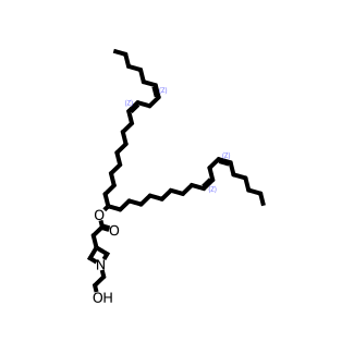 CCCCC/C=C\C/C=C\CCCCCCCCC(CCCCCCCC/C=C\C/C=C\CCCCC)OC(=O)CC1CN(CCO)C1